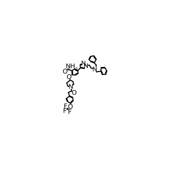 NC(=O)c1cc(-c2cnn(CCN(Cc3ccccc3)Cc3ccccc3)c2)ccc1OC1CCN(C(=O)Cc2ccc(OC(F)(F)F)cc2)CC1